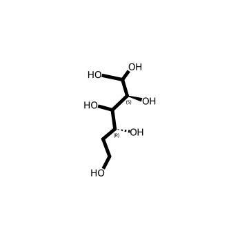 OCC[C@@H](O)C(O)[C@H](O)C(O)O